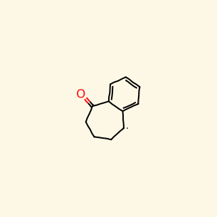 O=C1CCC[CH]c2ccccc21